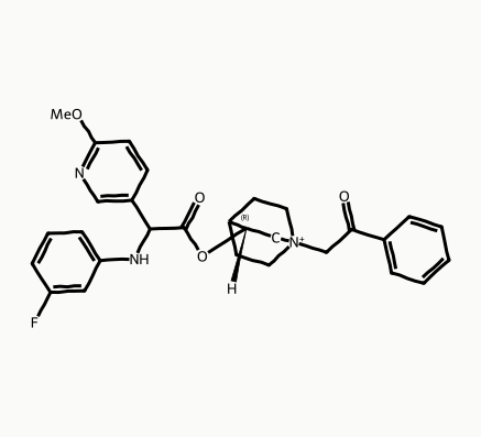 COc1ccc(C(Nc2cccc(F)c2)C(=O)O[C@H]2C[N+]3(CC(=O)c4ccccc4)CCC2CC3)cn1